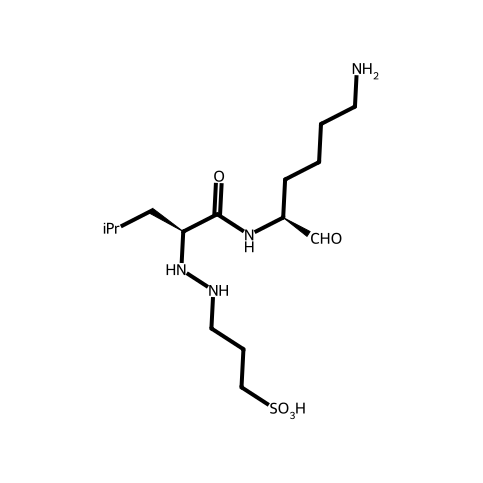 CC(C)C[C@H](NNCCCS(=O)(=O)O)C(=O)N[C@H](C=O)CCCCN